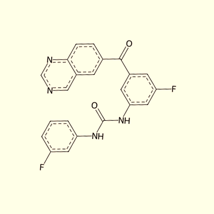 O=C(Nc1cccc(F)c1)Nc1cc(F)cc(C(=O)c2ccc3ncncc3c2)c1